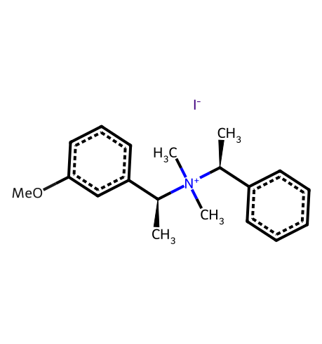 COc1cccc([C@H](C)[N+](C)(C)[C@@H](C)c2ccccc2)c1.[I-]